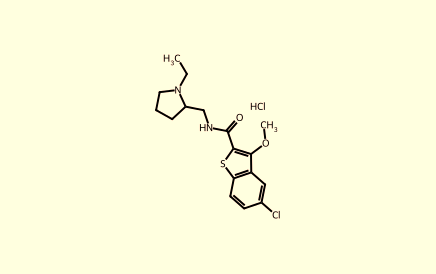 CCN1CCCC1CNC(=O)c1sc2ccc(Cl)cc2c1OC.Cl